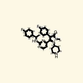 CC(Nc1nccc(-c2c(-c3ccc(F)cc3)c(=O)n(C)n2C2CCNCC2)n1)c1ccc(F)cc1